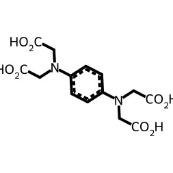 O=C(O)CN(CC(=O)O)c1ccc(N(CC(=O)O)CC(=O)O)cc1